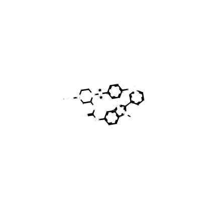 CCCCCCN1CCN(S(=O)(=O)c2ccc(F)cc2)C(OC(=O)Nc2ccc3c(c2)nc(-c2cccnc2)n3CC)C1